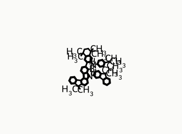 CC(C)(C)c1ccc(Nc2cc3c(cc2-c2ccc4c5c6c(ccc5n5c4c2Bc2cc4c(cc2-5)-c2ccccc2C4(C)C)C(C)(C)c2ccccc2-6)C(C)(C)CCC3(C)C)cc1